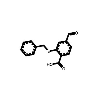 O=Cc1ccc(C(=O)O)c(SCc2ccccc2)c1